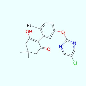 CCc1ccc(Oc2ncc(Cl)cn2)cc1C1=C(O)CC(C)(C)CC1=O